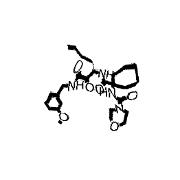 CCCC[C@H](NC(=O)C1(NC(=O)N2CCOCC2)CCCCC1)C(=O)C(=O)NCc1cccc(OC)c1